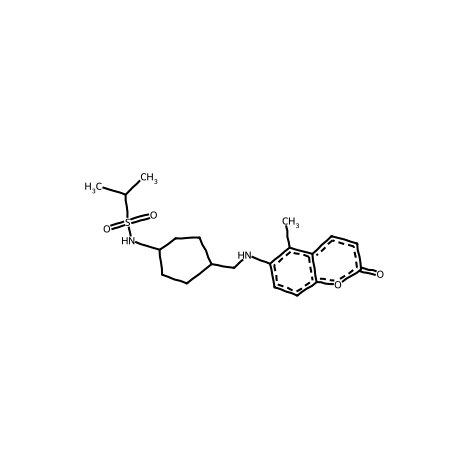 Cc1c(NCC2CCC(NS(=O)(=O)C(C)C)CC2)ccc2oc(=O)ccc12